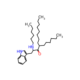 CCCCCCCCC(CCCCCC)C(=O)C(Cc1c[nH]c2ccccc12)NCCCCCC